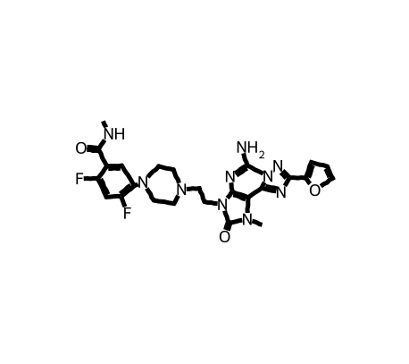 CNC(=O)c1cc(N2CCN(CCn3c(=O)n(C)c4c3nc(N)n3nc(-c5ccco5)nc43)CC2)c(F)cc1F